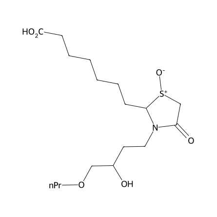 CCCOCC(O)CCN1C(=O)C[S+]([O-])C1CCCCCCC(=O)O